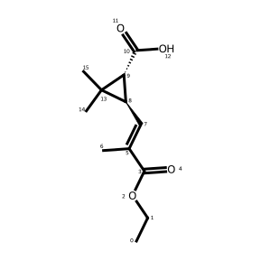 CCOC(=O)/C(C)=C/[C@@H]1[C@@H](C(=O)O)C1(C)C